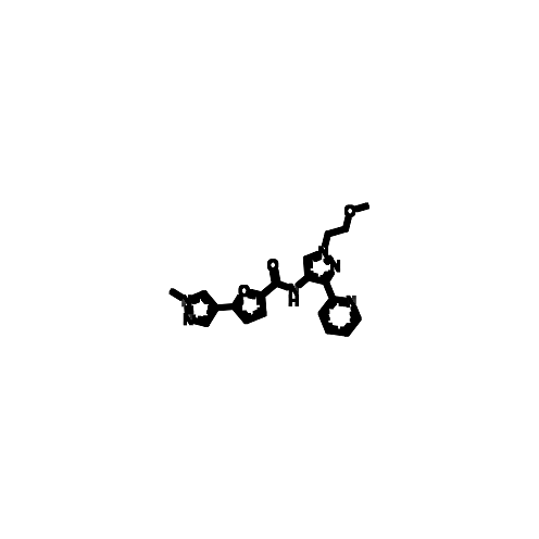 COCCn1cc(NC(=O)c2ccc(-c3cnn(C)c3)o2)c(-c2ccccn2)n1